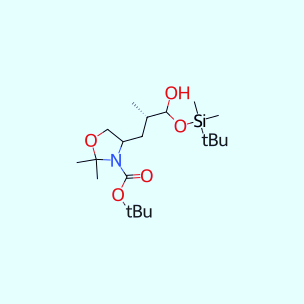 C[C@@H](CC1COC(C)(C)N1C(=O)OC(C)(C)C)C(O)O[Si](C)(C)C(C)(C)C